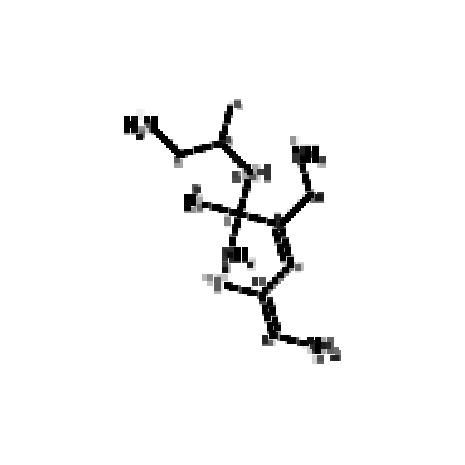 CCC(N)(NC(C)CN)/C(=C\C(F)=C/N)CN